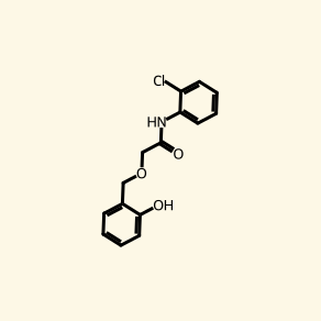 O=C(COCc1ccccc1O)Nc1ccccc1Cl